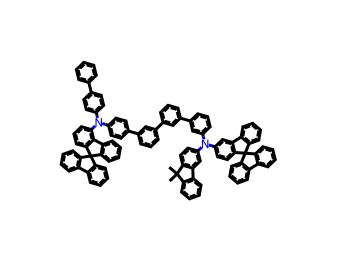 CC1(C)c2ccccc2-c2cc(N(c3cccc(-c4cccc(-c5cccc(-c6ccc(N(c7ccc(-c8ccccc8)cc7)c7cccc8c7-c7ccccc7C87c8ccccc8-c8ccccc87)cc6)c5)c4)c3)c3ccc4c(c3)-c3ccccc3C43c4ccccc4-c4ccccc43)ccc21